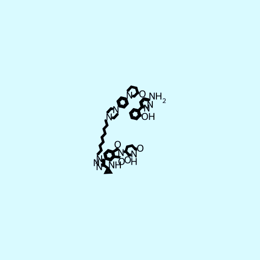 Nc1nnc(-c2ccccc2O)cc1OC1CCCN(c2ccc(N3CCN(CCCCCCCCCn4cc(C5(Nc6cccc7c6C(=O)N(C6CCC(=O)NC6=O)C7=O)CC5)nn4)CC3)cc2)C1